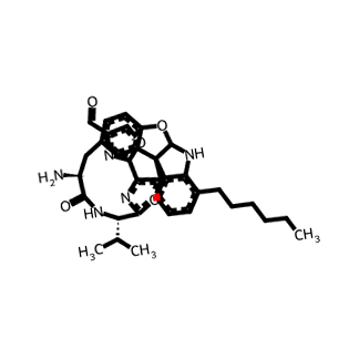 CCCCCCc1cccc2c1NC1Oc3ccc4cc3C21c1oc(nc1-c1nc(C=O)co1)[C@H](C(C)C)NC(=O)[C@@H](N)C4